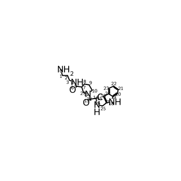 NCCCNC(=O)C1CCCN(C(=O)C2Cc3c([nH]c4ccccc34)CN2)C1